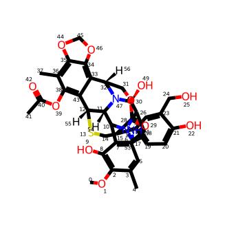 COc1c(C)cc2c(c1O)C1[C@@H]3[C@@H]4SC[C@@]5(NCCc6cc(O)c(CO)cc65)C(=O)OC[C@@H](c5c6c(c(C)c(OC(C)=O)c54)OCO6)N3[C@@H](O)C(C2)N1C